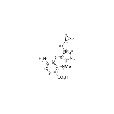 CNc1c(C(=O)O)ccc(N)c1Cc1cncn1CC1CC1